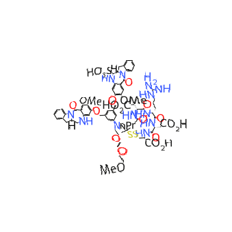 CCCC(=O)N[C@H](CC(=O)O)C(=O)N[C@H](CCCNC(=N)N)C(=O)N[C@H](CC(=O)O)C(=O)N[C@H](CSSC(C)(C)CN(CCOCCOCCOC)c1cc(COc2cc3c(cc2OC)C(=O)N2c4ccccc4C[C@H]2CN3)cc(COc2cc3c(cc2OC)C(=O)N2c4ccccc4C[C@H]2C(S(=O)(=O)O)N3)c1)C(=O)O